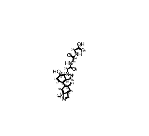 Cn1ncc2cc(F)c(-c3ccc(O)c4c3cnn4CC(=O)NCC(=O)NCC(=O)O)cc21